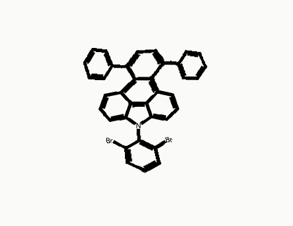 Brc1cccc(Br)c1-n1c2cccc3c4c(-c5ccccc5)ccc(-c5ccccc5)c4c4cccc1c4c32